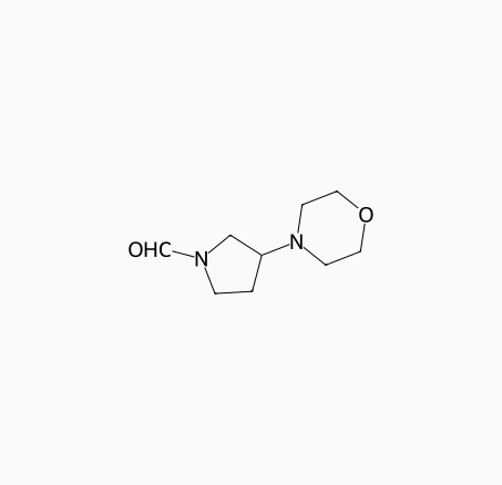 O=CN1CCC(N2CCOCC2)C1